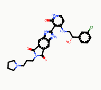 O=C1c2cc3nc(-c4c(NC[C@@H](O)c5cccc(Cl)c5)cc[nH]c4=O)[nH]c3cc2C(=O)N1CCCN1CCCC1